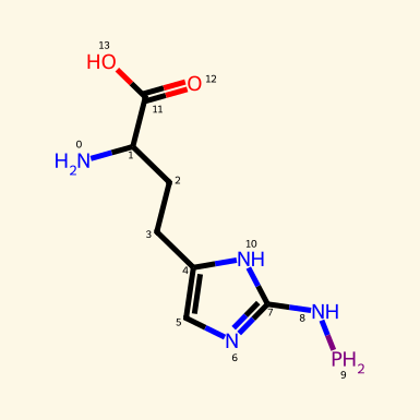 NC(CCc1cnc(NP)[nH]1)C(=O)O